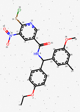 CCOc1ccc(C(NC(=O)c2cnc(SCl)c([N+](=O)[O-])c2)c2cc(C)cc(OC)c2)cc1